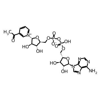 CC(=O)c1ccc[n+]([C@@H]2O[C@@H](COP(=O)([O-])OP(=O)(O)OC[C@@H]3O[C@@H](n4cnc5c(N)ncnc54)[C@H](O)[C@H]3O)[C@H](O)[C@H]2O)c1